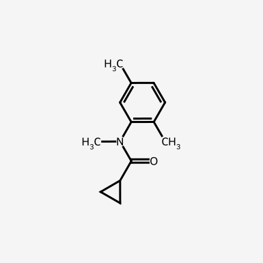 Cc1ccc(C)c(N(C)C(=O)C2CC2)c1